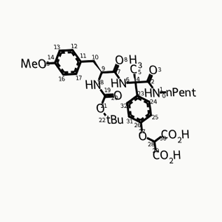 CCCCCNC(=O)[C@@](C)(NC(=O)[C@H](Cc1ccc(OC)cc1)NC(=O)OC(C)(C)C)c1ccc(OC(C(=O)O)C(=O)O)cc1